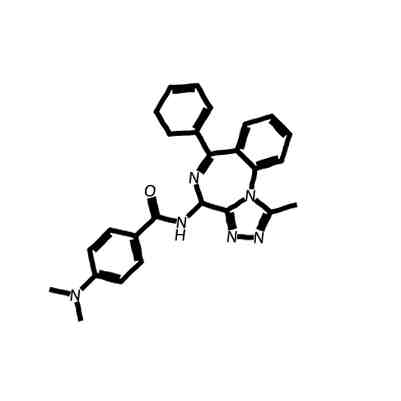 Cc1nnc2n1-c1ccccc1C(C1=CC=CCC1)=NC2NC(=O)c1ccc(N(C)C)cc1